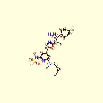 CC1CC1CN(C)c1cc(-c2nnc(C(C)C(N)c3ccc(F)cc3)o2)cc(N(C)S(C)(=O)=O)n1